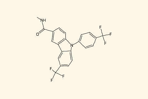 CNC(=O)c1ccc2c(c1)c1cc(C(F)(F)F)ccc1n2-c1ccc(C(F)(F)F)cc1